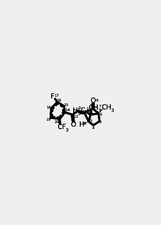 CC1(C)[C@H]2CC[C@]1(C)C(=O)/C2=C/C(=O)c1cc(F)ccc1C(F)(F)F